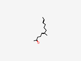 CC=CCCCC(C)=CCCC(C)=O